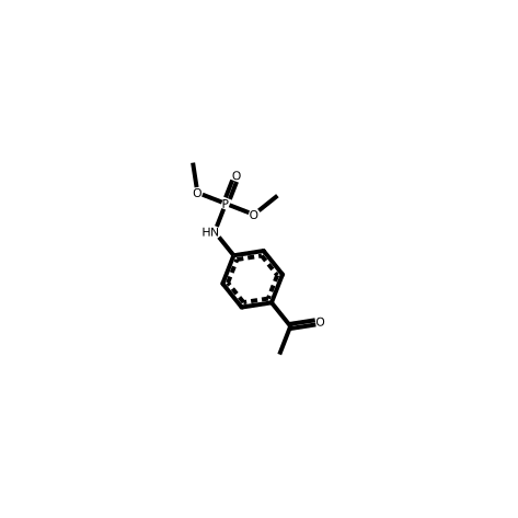 COP(=O)(Nc1ccc(C(C)=O)cc1)OC